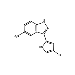 O=[N+]([O-])c1ccc2[nH]nc(-c3cc(Br)c[nH]3)c2c1